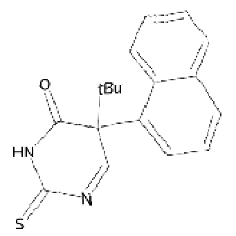 CC(C)(C)C1(c2cccc3ccccc23)C=NC(=S)NC1=O